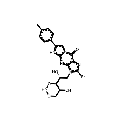 Cc1ccc(-c2cn3c(=O)c4nc(Br)n(C[C@@H](O)C5OPOCC5O)c4nc3[nH]2)cc1